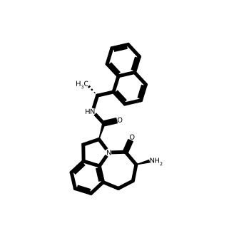 C[C@@H](NC(=O)[C@@H]1Cc2cccc3c2N1C(=O)[C@@H](N)CC3)c1cccc2ccccc12